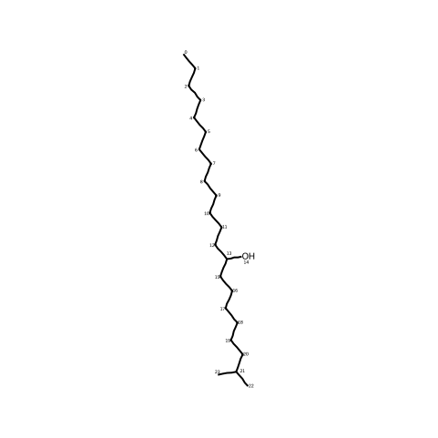 CCCCCCCCCCCCCC(O)CCCCCCC(C)C